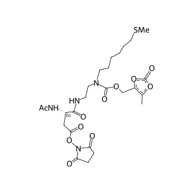 CSCCCCCCN(CCNC(=O)[C@H](CC(=O)ON1C(=O)CCC1=O)NC(C)=O)C(=O)OCc1oc(=O)oc1C